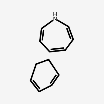 C1=CC=CNC=C1.C1=CCCC=C1